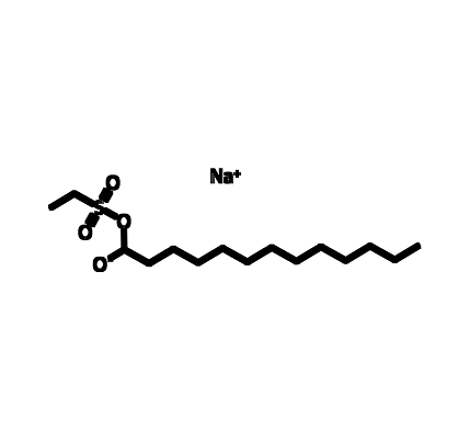 CCCCCCCCCCCCC([O-])OS(=O)(=O)CC.[Na+]